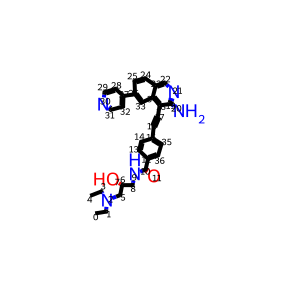 CCN(CC)CC(O)CNC(=O)c1ccc(C#Cc2c(N)ncc3ccc(-c4ccncc4)cc23)cc1